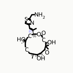 C/C(=C\c1csc(CN)n1)[C@@H]1CC[C@](C)(O)CCC[C@H](C)[C@H](O)[C@@H](C)C(=O)C(C)(C)[C@@H](O)CC(=O)O1